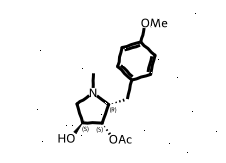 COc1ccc(C[C@@H]2[C@H](OC(C)=O)[C@@H](O)CN2C)cc1